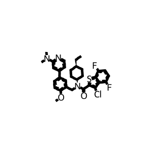 CC[C@H]1CC[C@H](N(Cc2cc(-c3ccnc(N(C)C)c3)ccc2OC)C(=O)c2sc3c(F)ccc(F)c3c2Cl)CC1